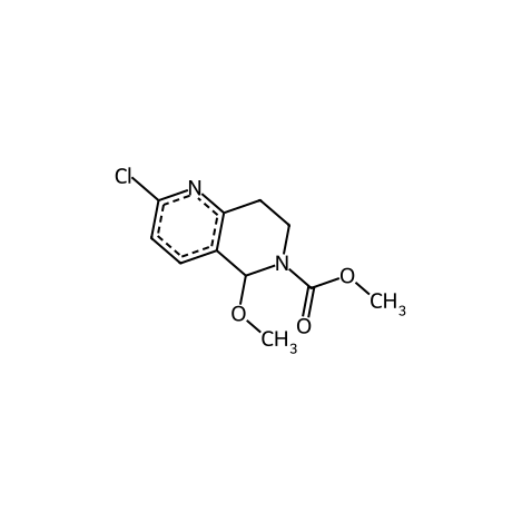 COC(=O)N1CCc2nc(Cl)ccc2C1OC